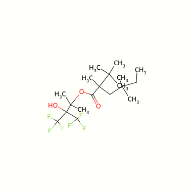 CCC(C)(C)CC(C)(C(=O)OC(C)(C)C(O)(C(F)(F)F)C(F)(F)F)C(C)(C)C